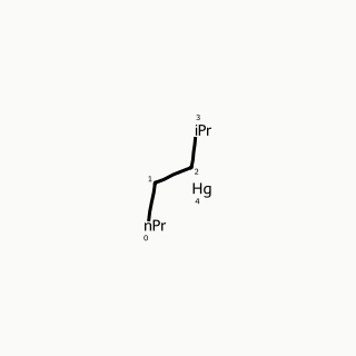 CCCCCC(C)C.[Hg]